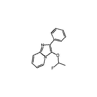 CC(F)Oc1c(-c2ccccc2)nc2ccccn12